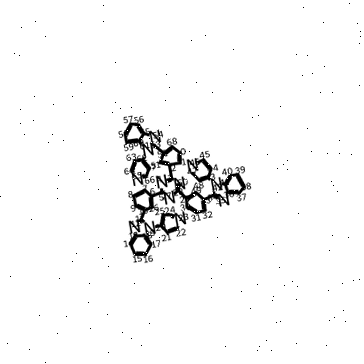 c1cc(-c2nc(-c3cccc(-c4nc5ccccc5n4-c4ccncc4)c3)nc(-c3cccc(-c4nc5ccccc5n4-c4ccncc4)c3)n2)cc(-c2nc3ccccc3n2-c2ccncc2)c1